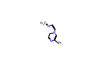 C=N/C=C\N1C=C(C(C)C)N=CC1